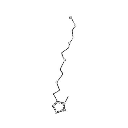 CCOCCOCCOCCOCCc1cnnn1C